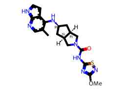 COc1nsc(NC(=O)N2C[C@H]3C[C@@H](Nc4c(C)cnc5[nH]ccc45)C[C@H]3C2)n1